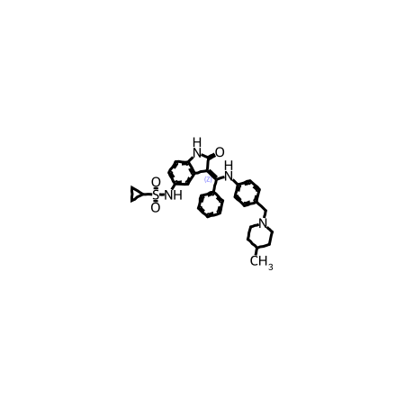 CC1CCN(Cc2ccc(N/C(=C3\C(=O)Nc4ccc(NS(=O)(=O)C5CC5)cc43)c3ccccc3)cc2)CC1